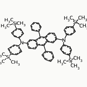 C[Si](C)(C)c1ccc(N(c2ccc([Si](C)(C)C)cc2)c2ccc3c(-c4ccccc4)c4cc(N(c5ccc([Si](C)(C)C)cc5)c5ccc([Si](C)(C)C)cc5)ccc4c(-c4ccccc4)c3c2)cc1